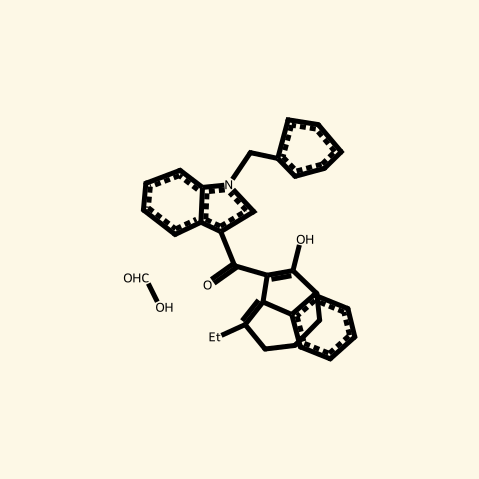 CC/C1=C(c2ccccc2)\C(C(=O)c2cn(Cc3ccccc3)c3ccccc23)=C(\O)CCCC1.O=CO